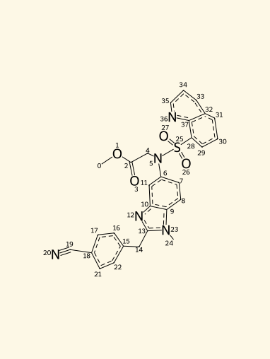 COC(=O)CN(c1ccc2c(c1)nc(Cc1ccc(C#N)cc1)n2C)S(=O)(=O)c1cccc2cccnc12